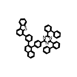 c1ccc(-c2ccccc2-c2nc(-c3ccc(-c4c(-c5cccc(-c6cccc7c6sc6ccccc67)c5)ccc5ccccc45)cc3)nc(-c3ccccc3-c3ccccc3)n2)cc1